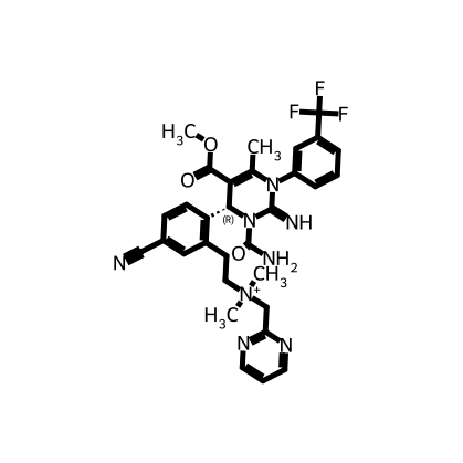 COC(=O)C1=C(C)N(c2cccc(C(F)(F)F)c2)C(=N)N(C(N)=O)[C@@H]1c1ccc(C#N)cc1CC[N+](C)(C)Cc1ncccn1